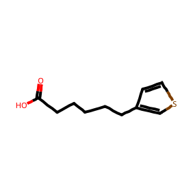 O=C(O)CCCCCc1[c]s[c]c1